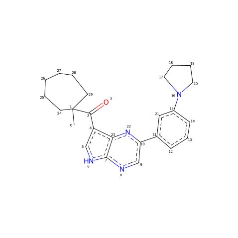 CC1(C(=O)c2c[nH]c3ncc(-c4cccc(N5CCCC5)c4)nc23)CCCCCC1